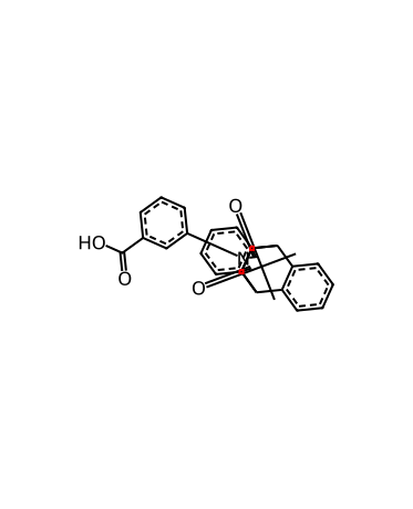 O=C(O)c1cccc(N2C(=O)C3C4c5ccccc5C(c5ccccc54)C3C2=O)c1